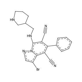 N#Cc1c(-c2ccccc2)c(C#N)c2c(Br)cnn2c1NCC1CCCNC1